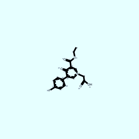 CCOC(=O)c1cn(CC(=O)O)cc(-c2ccc(F)cc2)c1=O